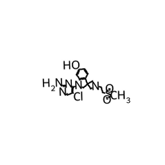 CS(=O)(=O)CCN1CC2(C1)CN(c1nc(N)ncc1Cl)c1cc(O)ccc12